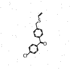 C=CSCc1ccc(C(=O)c2ccc(Cl)cc2)cc1